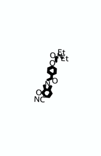 CCN(CC)C(=O)COc1ccc(C(=O)CN2C=C3C=CC(C#N)C(=O)C3C2)cc1